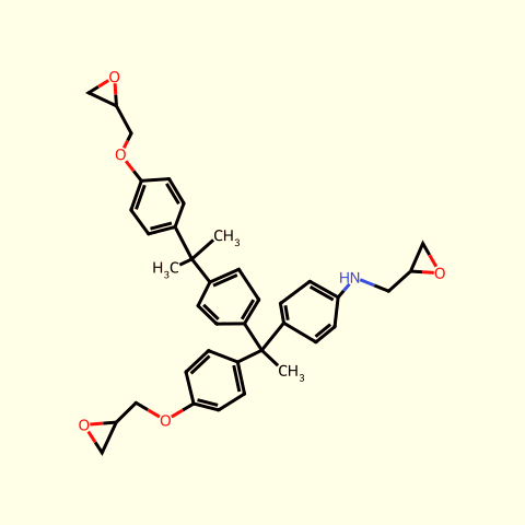 CC(C)(c1ccc(OCC2CO2)cc1)c1ccc(C(C)(c2ccc(NCC3CO3)cc2)c2ccc(OCC3CO3)cc2)cc1